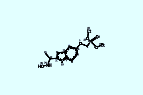 CCOP(=O)(COc1ccc2sc(C(C)NO)cc2c1)OCC